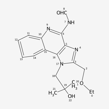 CCOCc1nc2c(NC=O)nc3ccccc3c2n1CC(C)(C)O